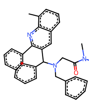 Cc1cccc2cc(C(c3ccccc3)N(CC(=O)N(C)C)Cc3ccccc3)c(-c3ccccc3)nc12